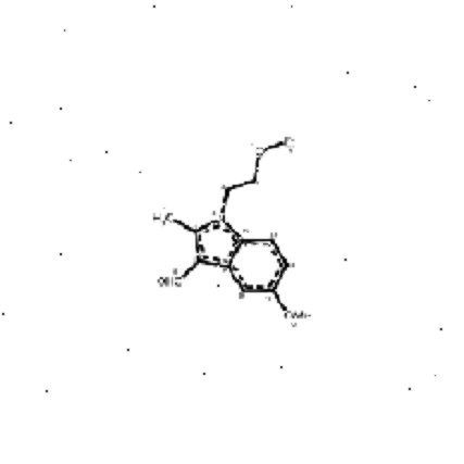 CCOCCn1c(C)c(C=O)c2cc(OC)ccc21